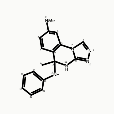 CNc1ccc2c(c1)-n1cnnc1NC2(C)Nc1ccccc1